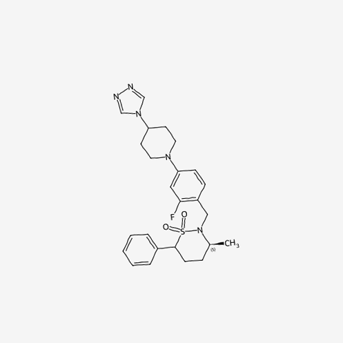 C[C@H]1CCC(c2ccccc2)S(=O)(=O)N1Cc1ccc(N2CCC(n3cnnc3)CC2)cc1F